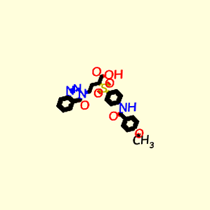 COc1ccc(C(=O)Nc2ccc(S(=O)(=O)C(CCn3nnc4ccccc4c3=O)C(=O)O)cc2)cc1